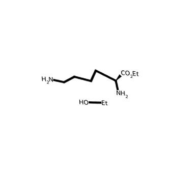 CCO.CCOC(=O)[C@@H](N)CCCCN